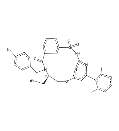 Cc1cccc(C)c1-c1cc2nc(n1)NS(=O)(=O)c1cccc(c1)C(=O)N(Cc1ccc(Br)cc1)[C@H](CC(C)(C)C)CO2